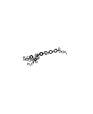 C=CCn1c(=O)c2cnc(Nc3ccc(N4CCN(C5CCC(N6CCC(C(=O)OCC)CC6)CC5)CC4)cc3)nc2n1-c1cccc(C(C)(C)O)n1